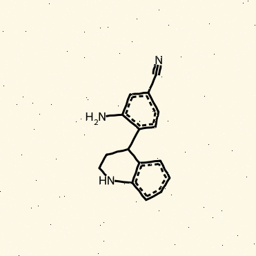 N#Cc1ccc(C2CCNc3ccccc32)c(N)c1